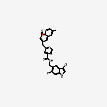 C=c1ncc(C)c/c1=C/C(=C\C#N)Cc1cc(C(=O)NCc2cc3c(Cl)c[nH]c3cc2F)ccn1